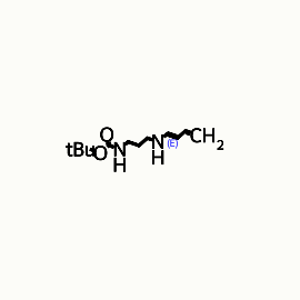 C=C/C=C/NCCCNC(=O)OC(C)(C)C